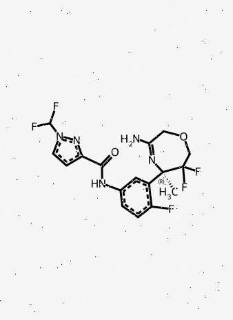 C[C@]1(c2cc(NC(=O)c3ccn(C(F)F)n3)ccc2F)N=C(N)COCC1(F)F